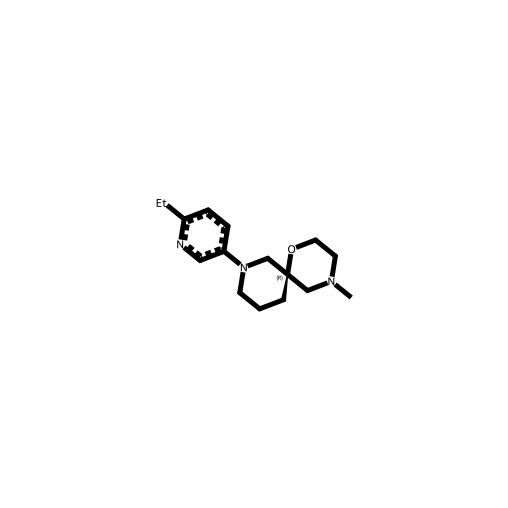 CCc1ccc(N2CCC[C@@]3(CN(C)CCO3)C2)cn1